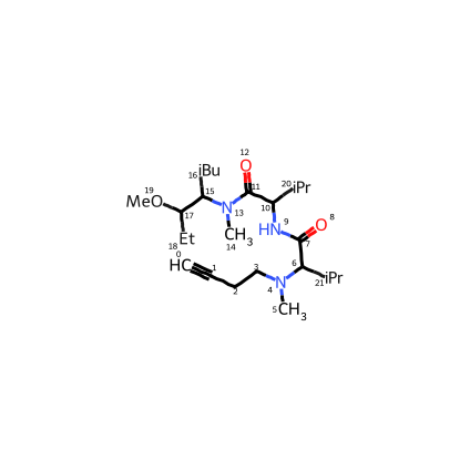 C#CCCN(C)C(C(=O)NC(C(=O)N(C)C(C(C)CC)C(CC)OC)C(C)C)C(C)C